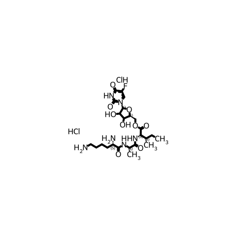 CC[C@H](C)[C@H](NC(=O)[C@H](C)NC(=O)[C@@H](N)CCCCN)C(=O)OC[C@@H]1O[C@H](n2cc(F)c(=O)[nH]c2=O)C(O)C1O.Cl.Cl